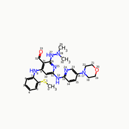 CSc1ccccc1Nc1cc(Nc2ccc(N3CCOCC3)cn2)nc(NN(C)C)c1C=O